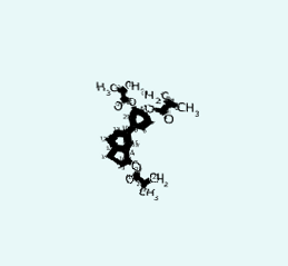 C=C(C)C(=O)Oc1ccc(-c2ccc3c(c2)C(OC(=O)C(=C)C)CC3)cc1OC(=O)C(=C)C